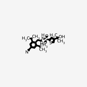 CC(C)c1cc(C#N)cc(C(C)C)c1CC(=O)NS(=O)(=O)c1cc(C(C)(C)O)cs1